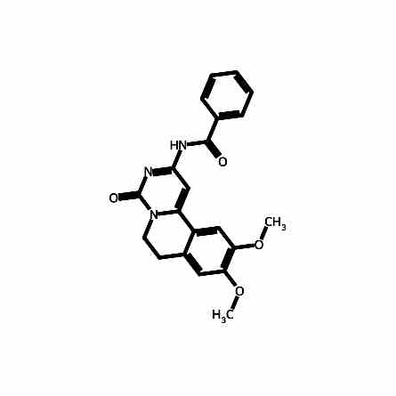 COc1cc2c(cc1OC)-c1cc(NC(=O)c3ccccc3)nc(=O)n1CC2